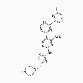 Cc1cccc(-c2nccc(-c3cnc(Nc4nc(CN5CCNCC5)cs4)nc3N)n2)n1